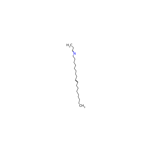 CCC=NCCCCCCCCC=CCCCCCCCC